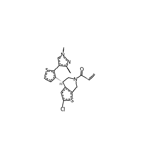 C=CC(=O)N1Cc2sc(Cl)cc2[C@H](c2ccsc2-c2cn(C)nc2C)C1